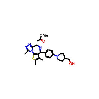 COC(=O)C[C@@H]1N=C(c2ccc(N3CCC(CO)CC3)cc2)c2c(sc(C)c2C)-n2c(C)nnc21